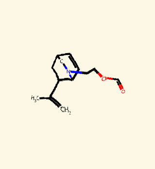 C=C(C)C1CC2C=CC1N(COC=O)C2